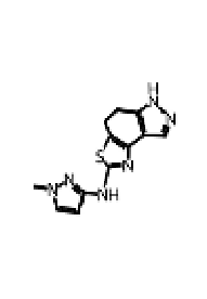 Cn1ccc(Nc2nc3c(s2)CCc2[nH]ncc2-3)n1